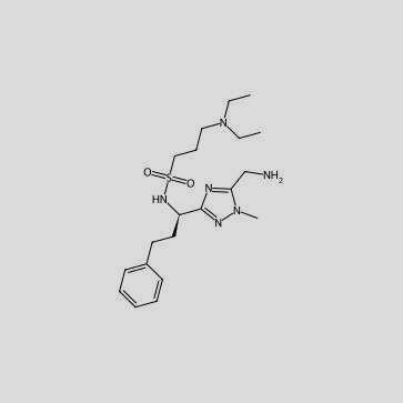 CCN(CC)CCCS(=O)(=O)N[C@H](CCc1ccccc1)c1nc(CN)n(C)n1